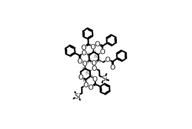 C[Si](C)(C)CCO[C@H]1OC[C@@H](O[C@@H]2O[C@H](COC(=O)c3ccccc3)[C@H](OC(=O)c3ccccc3)[C@H](OC(=O)c3ccccc3)[C@H]2OC(=O)c2ccccc2)[C@H](OCC[Si](C)(C)C)[C@H]1OC(=O)c1ccccc1